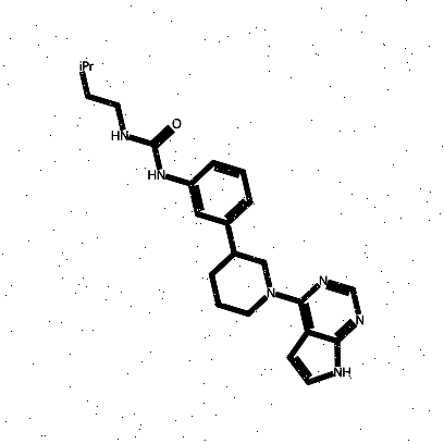 CC(C)CCNC(=O)Nc1cccc(C2CCCN(c3ncnc4[nH]ccc34)C2)c1